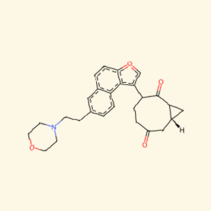 O=C1CCC(c2coc3ccc4cc(CCN5CCOCC5)ccc4c23)C(=O)C2C[C@@H]2C1